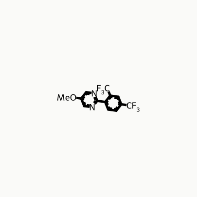 COc1cnc(-c2ccc(C(F)(F)F)cc2C(F)(F)F)nc1